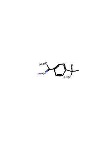 CCCCCCCC(C)(C)c1ccc(/C(=N/I)OC)cc1